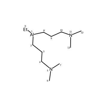 C[CH2][Al]([CH2]CCN(C)C)[CH2]CCN(C)C